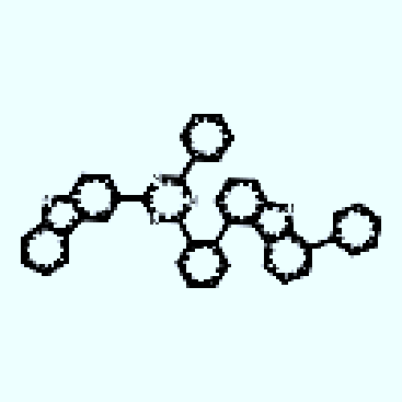 c1ccc(-c2nc(-c3ccc4sc5ccccc5c4c3)nc(-c3ccccc3-c3cccc4oc5c(-c6ccccc6)cccc5c34)n2)cc1